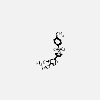 Cc1ccc(S(=O)(=O)n2ccc(C(=O)CN(C)C(=O)O)c2)cc1